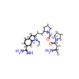 CCn1c(CCC2CCCN2C(=O)[C@@H]2CCCN2C(=O)C[C@@H](C)N)cc2ccc(C(=N)N)cc21